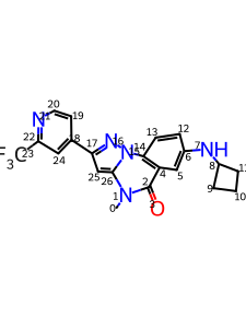 Cn1c(=O)c2cc(NC3CCC3)ccc2n2nc(-c3ccnc(C(F)(F)F)c3)cc12